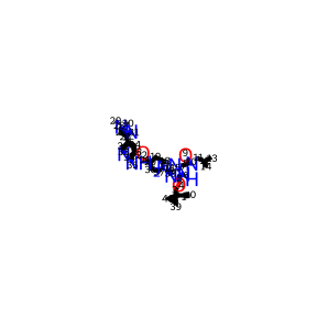 C#CC1(COc2nc(C(=O)NCC(C)C)nc(N3CCC(COc4cc(-c5cn(C)cn5)cnc4N)CC3)n2)CC1